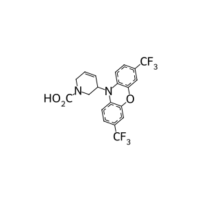 O=C(O)N1CC=CC(N2c3ccc(C(F)(F)F)cc3Oc3cc(C(F)(F)F)ccc32)C1